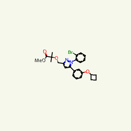 COC(=O)C(C)(C)OCc1cc(-c2cccc(OC3CCC3)c2)n(-c2ccccc2Br)n1